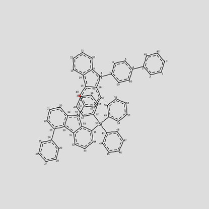 c1ccc(-c2ccc(-n3c4ccccc4c4cc(-n5c6cccc(-c7ccccc7)c6c6cccc([Si](c7ccccc7)(c7ccccc7)c7ccccc7)c65)ccc43)cc2)cc1